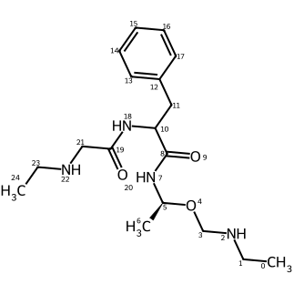 CCNCO[C@@H](C)NC(=O)C(Cc1ccccc1)NC(=O)CNCC